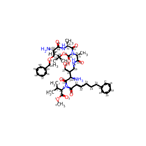 COC(=O)C(C(C)C)N(C(=O)CCCCCc1ccccc1)C(=O)C(N)C(CO)CNC(=O)[C@H](C)N(C(=O)OC(C)(C)C)C(=O)[C@H](C)NC(=O)[C@@H](N)COCc1ccccc1